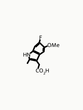 COc1cc2c(CC(=O)O)c(C)[nH]c2cc1F